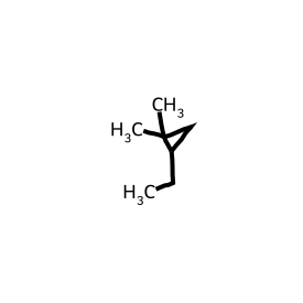 CCC1CC1(C)C